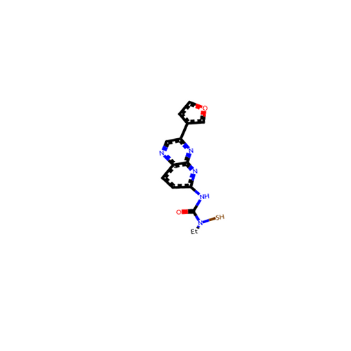 CCN(S)C(=O)Nc1ccc2ncc(-c3ccoc3)nc2n1